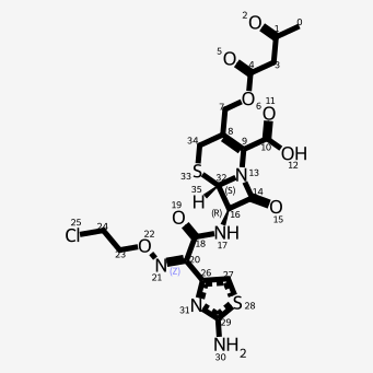 CC(=O)CC(=O)OCC1=C(C(=O)O)N2C(=O)[C@@H](NC(=O)/C(=N\OCCCl)c3csc(N)n3)[C@@H]2SC1